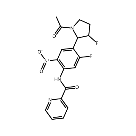 CC(=O)N1CCC(F)C1c1cc([N+](=O)[O-])c(NC(=O)c2ccccn2)cc1F